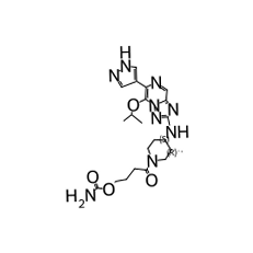 CC(C)Oc1c(-c2cn[nH]c2)ncc2nc(N[C@H]3CCN(C(=O)CCCOC(N)=O)C[C@H]3C)nn12